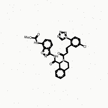 COC(=O)Nc1cccc2c(NC(=O)C3c4ccccc4CCN3C(=O)C=Cc3cc(Cl)ccc3-n3cnnn3)noc12